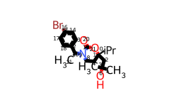 CC(C)[C@@]1(CC(C)(C)O)CCN([C@@H](C)c2ccc(Br)cc2)C(=O)O1